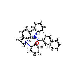 O=C(c1ccc2ccccc2c1)n1c2ccccc2c2ccc3ccn(-c4ccccc4)c3c21